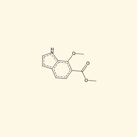 COC(=O)c1ccc2cc[nH]c2c1OC